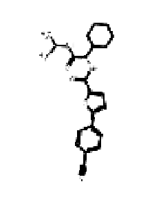 CC(C)NC(=O)[C@@H](NC(=O)c1ccc(-c2ccc(C#N)cc2)o1)C1CCCCC1